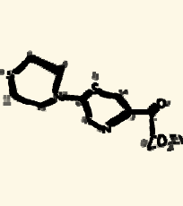 CCOC(=O)C(=O)C1=NN=C(N2CCSCC2)SC1